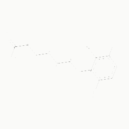 O=Cc1ccc(F)c(OCCCCCC(=O)Cl)c1[N+](=O)[O-]